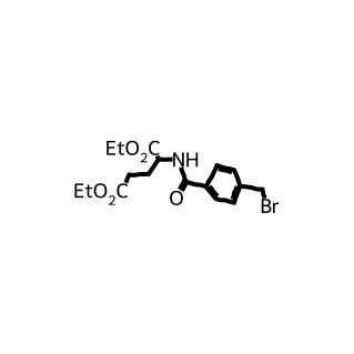 CCOC(=O)CCC(NC(=O)c1ccc(CBr)cc1)C(=O)OCC